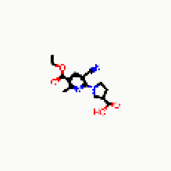 CCOC(=O)c1cc(C#N)c(N2CCC(C(=O)O)C2)nc1C